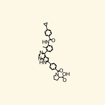 Cc1c(NC(=O)c2ccc(C3CC3)cc2)cccc1-c1ncnc2[nH]c(-c3ccc(C(=O)N4CCCC4C(=O)O)cc3)cc12